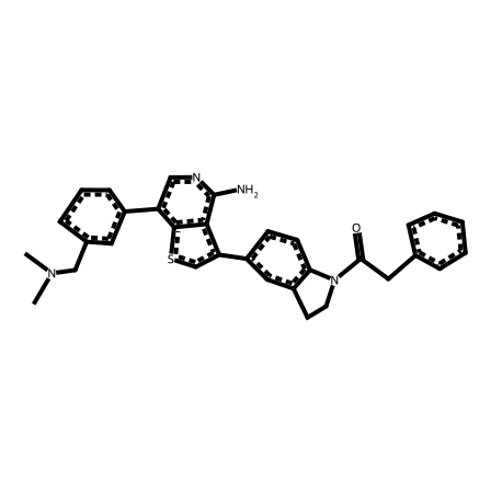 CN(C)Cc1cccc(-c2cnc(N)c3c(-c4ccc5c(c4)CCN5C(=O)Cc4ccccc4)csc23)c1